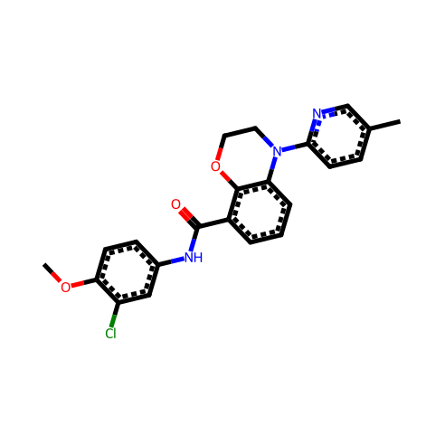 COc1ccc(NC(=O)c2cccc3c2OCCN3c2ccc(C)cn2)cc1Cl